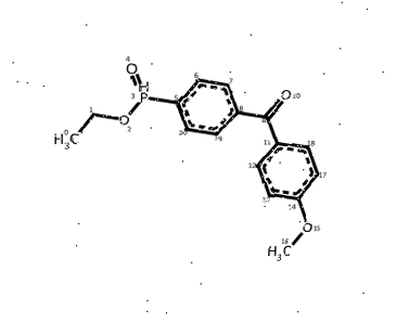 CCO[PH](=O)c1ccc(C(=O)c2ccc(OC)cc2)cc1